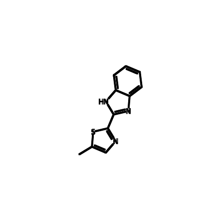 Cc1cnc(-c2nc3ccccc3[nH]2)s1